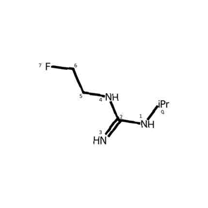 CC(C)NC(=N)NCCF